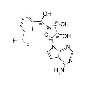 C[C@@]1(O)[C@@H]([C@H](O)c2cccc(C(F)F)c2)O[C@@H](n2ccc3c(N)ncnc32)[C@@H]1O